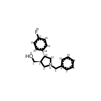 OC[C@@H]1CN(Cc2ccccc2)C[C@H]1c1ccc(F)cc1